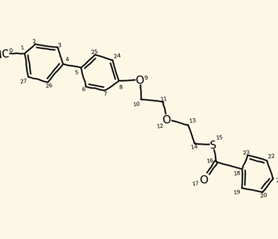 N#Cc1ccc(-c2ccc(OCCOCCSC(=O)c3ccccc3)cc2)cc1